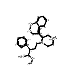 CCCOC(CCC)C(CCN1CCNCC1C1=C2CC=CC=C2OOC1)c1ccccc1